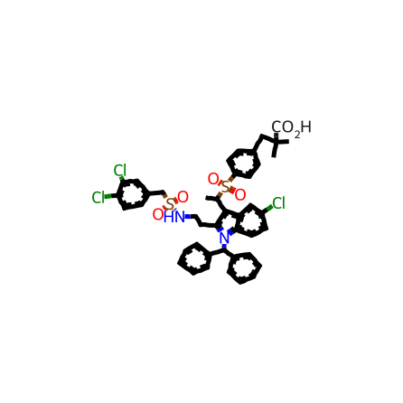 CC(c1c(CCNS(=O)(=O)Cc2ccc(Cl)c(Cl)c2)n(C(c2ccccc2)c2ccccc2)c2ccc(Cl)cc12)S(=O)(=O)c1ccc(CC(C)(C)C(=O)O)cc1